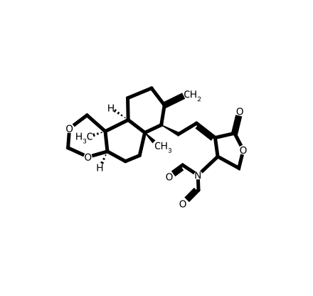 C=C1CC[C@@H]2[C@]3(C)COCO[C@@H]3CC[C@@]2(C)[C@@H]1C/C=C1/C(=O)OCC1N(C=O)C=O